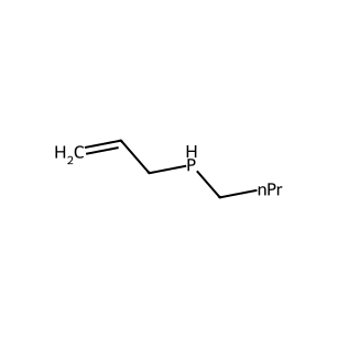 C=CCPCCCC